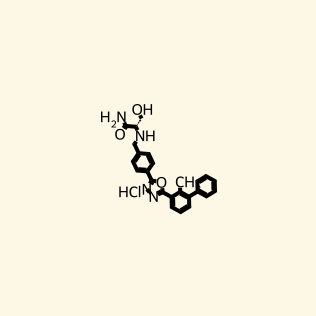 Cc1c(-c2ccccc2)cccc1-c1nnc(-c2ccc(CN[C@@H](CO)C(N)=O)cc2)o1.Cl